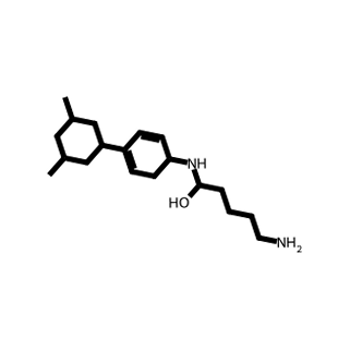 CC1CC(C)CC(C2=CCC(NC(O)CCCCN)C=C2)C1